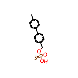 Cc1ccc(-c2ccc(COS(=O)(O)=S)cc2)cc1